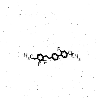 CCc1ccc(CCc2ccc(-c3ccc(OC)cc3F)cc2)c(F)c1F